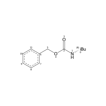 CC[C@@H](C)NC(=O)OCc1ccccc1